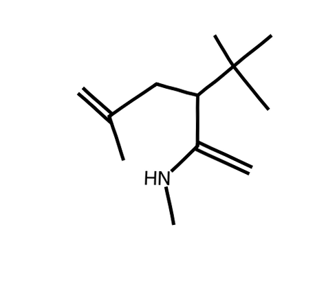 C=C(C)CC(C(=C)NC)C(C)(C)C